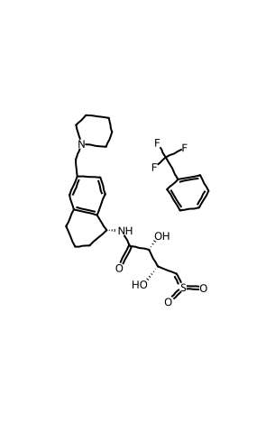 FC(F)(F)c1ccccc1.O=C(N[C@@H]1CCCc2cc(CN3CCCCC3)ccc21)[C@H](O)[C@@H](O)C=S(=O)=O